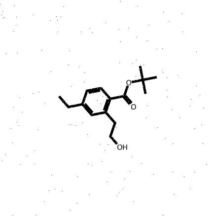 CCc1ccc(C(=O)OC(C)(C)C)c(CCO)c1